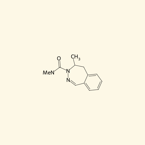 CNC(=O)N1N=Cc2ccccc2CC1C